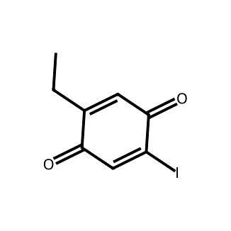 CCC1=CC(=O)C(I)=CC1=O